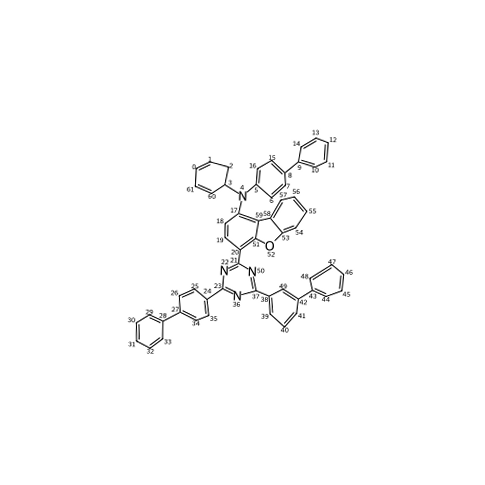 C1=CCC(N(c2ccc(-c3ccccc3)cc2)c2ccc(-c3nc(-c4ccc(-c5ccccc5)cc4)nc(-c4cccc(-c5ccccc5)c4)n3)c3oc4ccccc4c23)C=C1